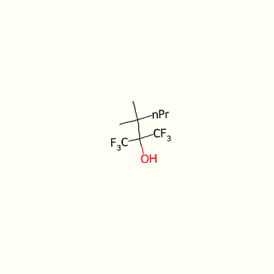 CCCC(C)(C)C(O)(C(F)(F)F)C(F)(F)F